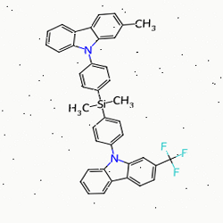 Cc1ccc2c3ccccc3n(-c3ccc([Si](C)(C)c4ccc(-n5c6ccccc6c6ccc(C(F)(F)F)cc65)cc4)cc3)c2c1